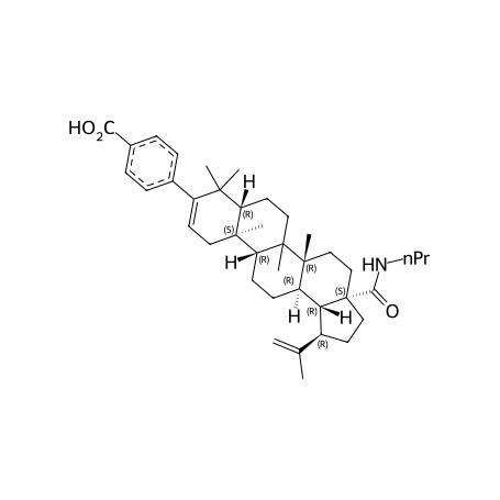 C=C(C)[C@@H]1CC[C@]2(C(=O)NCCC)CC[C@]3(C)[C@H](CC[C@H]4C3(C)CC[C@H]3C(C)(C)C(c5ccc(C(=O)O)cc5)=CC[C@@]34C)[C@@H]12